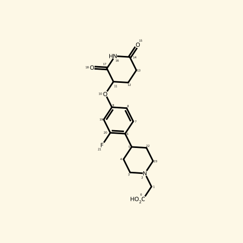 O=C(O)CN1CCC(c2ccc(OC3CCC(=O)NC3=O)cc2F)CC1